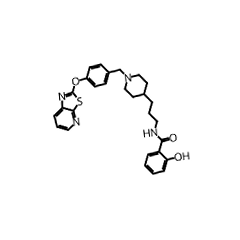 O=C(NCCCC1CCN(Cc2ccc(Oc3nc4cccnc4s3)cc2)CC1)c1ccccc1O